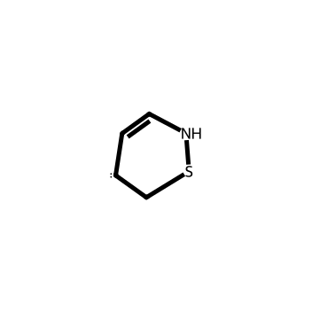 [C]1C=CNSC1